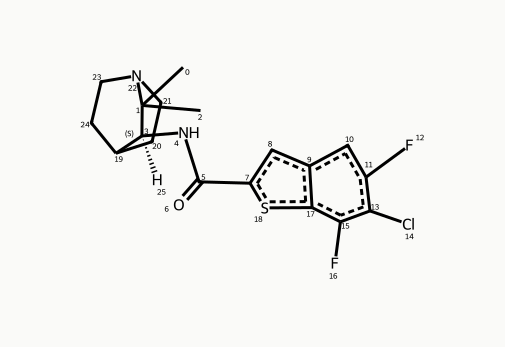 CC1(C)[C@@H](NC(=O)c2cc3cc(F)c(Cl)c(F)c3s2)C2CCN1CC2